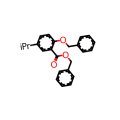 CC(C)c1ccc(OCc2ccccc2)c(C(=O)OCc2ccccc2)c1